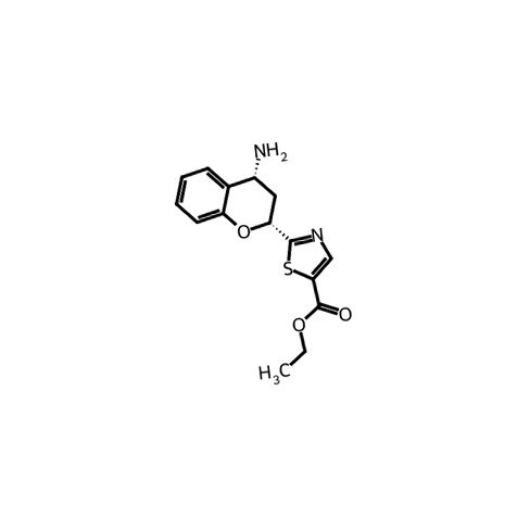 CCOC(=O)c1cnc([C@H]2C[C@@H](N)c3ccccc3O2)s1